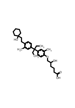 CCC(CC)(c1ccc(CCC2(O)CCCCC2)c(C)c1)c1ccc(OCC(O)CCCC(=O)O)c(C)c1